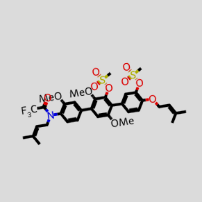 COc1cc(-c2cc(OC)c(-c3ccc(OCC=C(C)C)c(OS(C)(=O)=O)c3)c(OS(C)(=O)=O)c2OC)ccc1N(CC=C(C)C)C(=O)C(F)(F)F